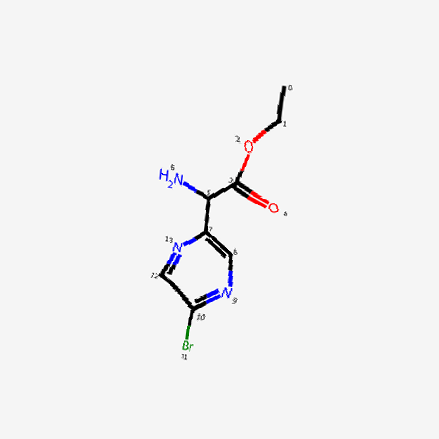 CCOC(=O)C(N)c1cnc(Br)cn1